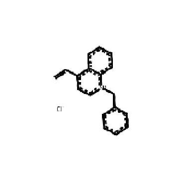 C=Cc1cc[n+](Cc2ccccc2)c2ccccc12.[Cl-]